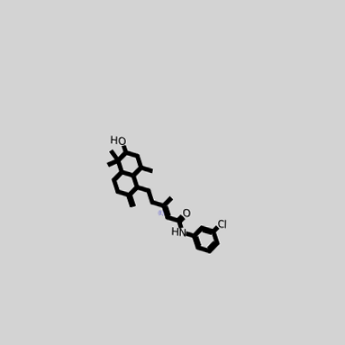 C=C1CCC2C(C(C)CC(O)C2(C)C)C1CC/C(C)=C/C(=O)Nc1cccc(Cl)c1